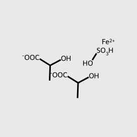 CC(O)C(=O)[O-].CC(O)C(=O)[O-].O=S(=O)(O)O.[Fe+2]